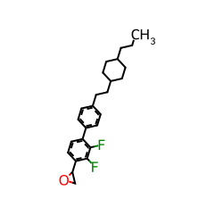 CCCC1CCC(CCc2ccc(-c3ccc(C4CO4)c(F)c3F)cc2)CC1